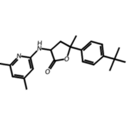 Cc1cc(C)nc(NC2CC(C)(c3ccc(C(C)(C)C)cc3)OC2=O)c1